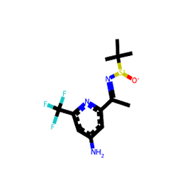 CC(=N[S+]([O-])C(C)(C)C)c1cc(N)cc(C(F)(F)F)n1